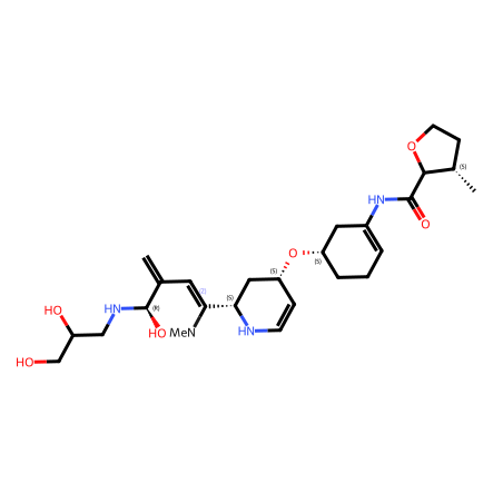 C=C(/C=C(\NC)[C@@H]1C[C@H](O[C@H]2CCC=C(NC(=O)C3OCC[C@@H]3C)C2)C=CN1)[C@@H](O)NCC(O)CO